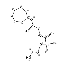 O=C(COC(=O)C(F)(F)SOOO)OC1CCCCCC1